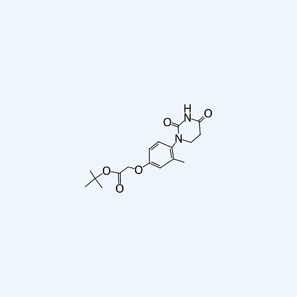 Cc1cc(OCC(=O)OC(C)(C)C)ccc1N1CCC(=O)NC1=O